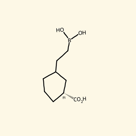 O=C(O)[C@@H]1CCCC(CCB(O)O)C1